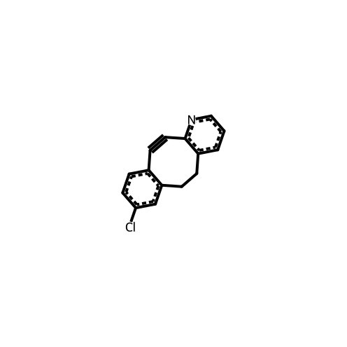 Clc1ccc2c(c1)CCc1cccnc1C#C2